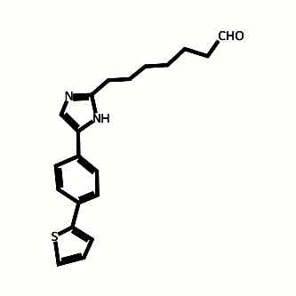 O=CCCCCCCc1ncc(-c2ccc(-c3cccs3)cc2)[nH]1